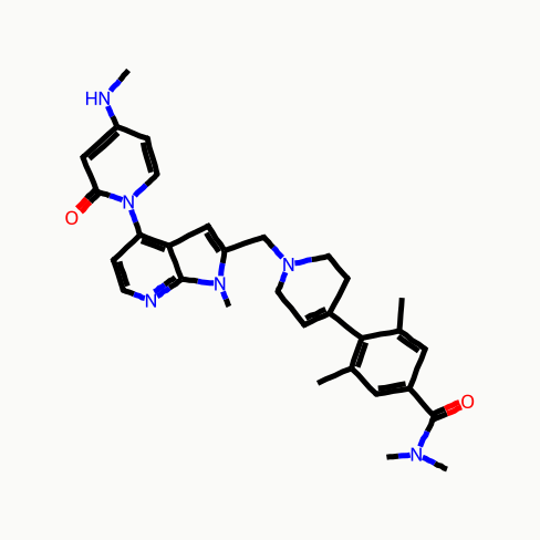 CNc1ccn(-c2ccnc3c2cc(CN2CC=C(c4c(C)cc(C(=O)N(C)C)cc4C)CC2)n3C)c(=O)c1